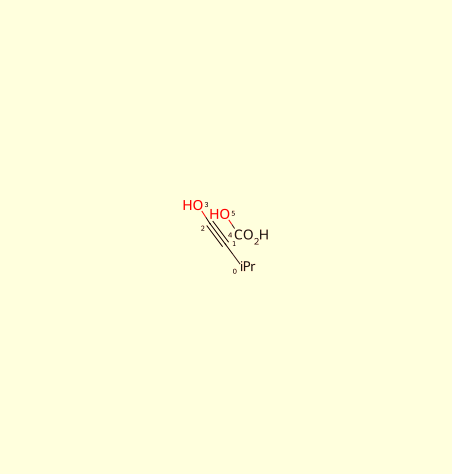 CC(C)C#CO.O=C(O)O